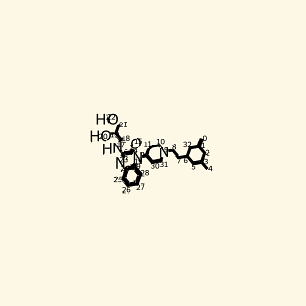 C=C1CC(C)CC(CCN2CCC(n3c(=O)c(NC[C@@H](O)CO)nc4ccccc43)CC2)C1